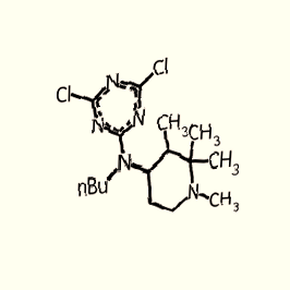 CCCCN(c1nc(Cl)nc(Cl)n1)C1CCN(C)C(C)(C)C1C